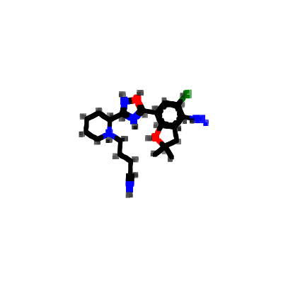 CC1(C)Cc2c(N)c(Cl)cc(-c3nc(C4CCCCN4CCCC#N)no3)c2O1